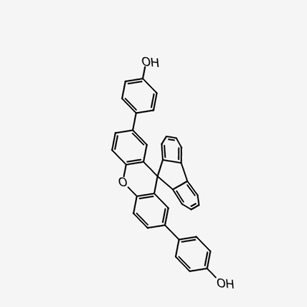 Oc1ccc(-c2ccc3c(c2)C2(c4cc(-c5ccc(O)cc5)ccc4O3)c3ccccc3-c3ccccc32)cc1